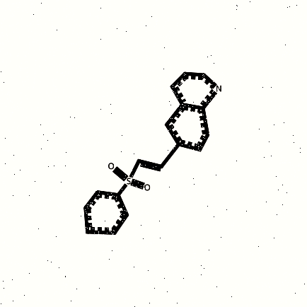 O=S(=O)(C=Cc1ccc2ncccc2c1)c1ccccc1